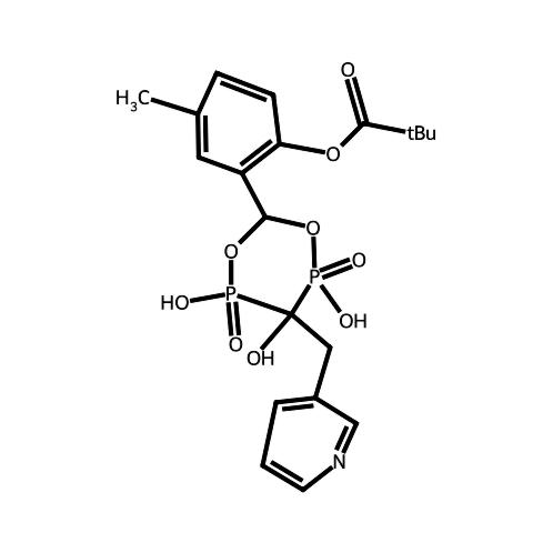 Cc1ccc(OC(=O)C(C)(C)C)c(C2OP(=O)(O)C(O)(Cc3cccnc3)P(=O)(O)O2)c1